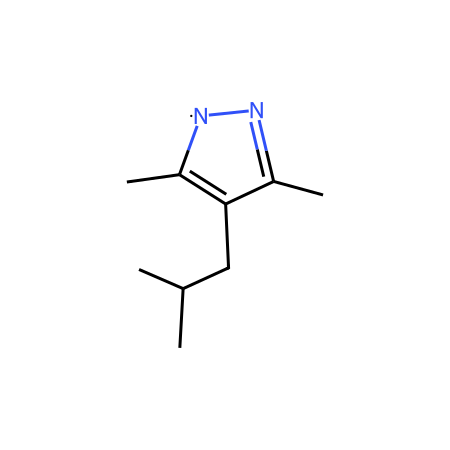 CC1=N[N]C(C)=C1CC(C)C